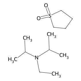 CCN(C(C)C)C(C)C.O=S1(=O)CCCC1